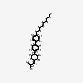 CCCCCCCCCc1ccc(-c2ccc(C3CCC(CC(C)C)CC3)cc2)cc1